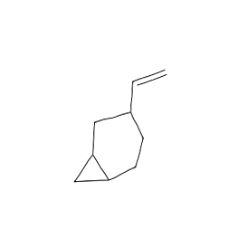 C=CC1CCC2CC2C1